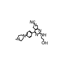 CN1CCN(c2ccc(-c3nc(NCCO)nc4c3CN(C#N)C4)cc2)CC1